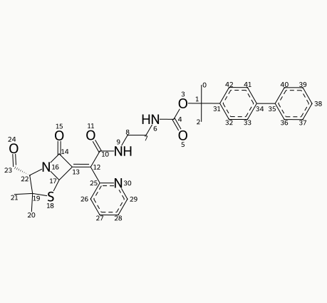 CC(C)(OC(=O)NCCNC(=O)/C(=C1\C(=O)N2C1SC(C)(C)[C@@H]2C=O)c1ccccn1)c1ccc(-c2ccccc2)cc1